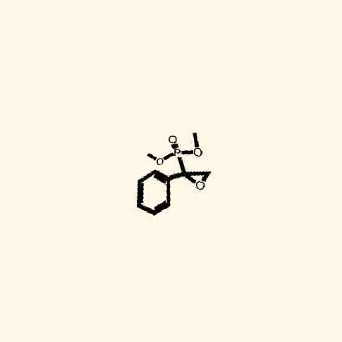 COP(=O)(OC)C1(c2ccccc2)CO1